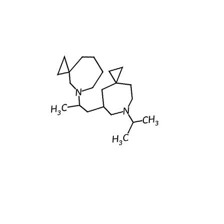 CC(C)N1CCC2(CC2)CC(CC(C)N2CCCCC3(CC3)C2)C1